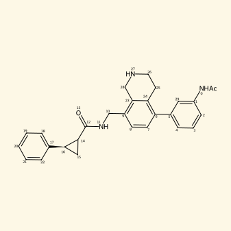 CC(=O)Nc1cccc(-c2ccc(CNC(=O)C3C[C@H]3c3ccccc3)c3c2CCNC3)c1